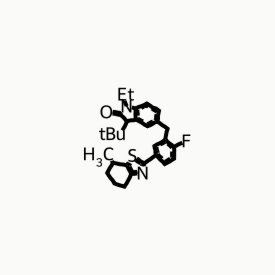 CCN1C(=O)C(C(C)(C)C)c2cc(Cc3cc(-c4nc5c(s4)C(C)CCC5)ccc3F)ccc21